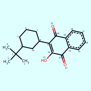 CC(C)(C)C1CCCC(C2=C(O)C(=O)c3ccccc3C2=O)C1